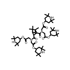 CC1(C)CC(OC(=O)CN(CC(=O)OC2CC(C)(C)NC(C)(C)C2)C(=O)C2C3CC(C)(C2C(=O)N(CC(=O)OC2CC(C)(C)NC(C)(C)C2)CC(=O)OC2CC(C)(C)NC(C)(C)C2)C3(C)C)CC(C)(C)N1